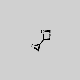 C1CC(C2CO2)O1